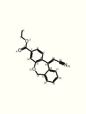 CCOC(=O)c1ccc2c(c1)OCc1ccccc1C2=CC#N